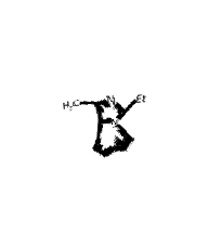 CCc1nc(C)c2ccccn12